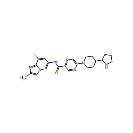 Cc1cn2cc(NC(=O)c3cnc(N4CCC(C5CCCN5)CC4)cn3)cc(F)c2n1